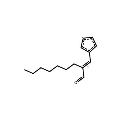 CCCCCCC/C(C=O)=C\c1ccsc1